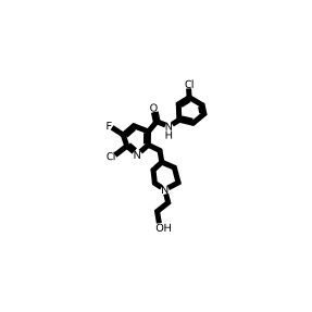 O=C(Nc1cccc(Cl)c1)c1cc(F)c(Cl)nc1CC1CCN(CCO)CC1